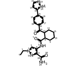 CCn1cc(NC(=O)C2CCCCC2C(=O)c2ccc(-c3ccn[nH]3)cc2)c(C(N)=O)n1